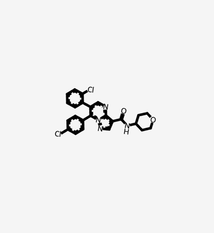 O=C(NC1CCOCC1)c1cnn2c(-c3ccc(Cl)cc3)c(-c3ccccc3Cl)cnc12